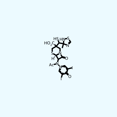 CC(=O)N(C1C(=O)N2CC(C(=O)O)(C(S)C3(C)N=CSN3)CS[C@H]12)n1cc(I)c(=O)c(I)c1